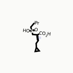 CC(C)CP(=O)(O)C/C(=C\CC1CC1)C(=O)O